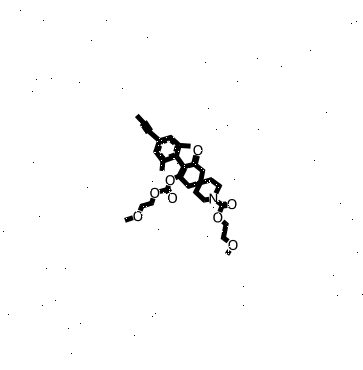 CC#Cc1cc(C)c(C2=C(OC(=O)OCCOC)CC3(CCN(C(=O)OCCOC)CC3)CC2=O)c(C)c1